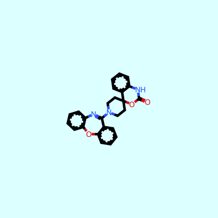 O=C1Nc2ccccc2C2(CCN(C3=Nc4ccccc4Oc4ccccc43)CC2)O1